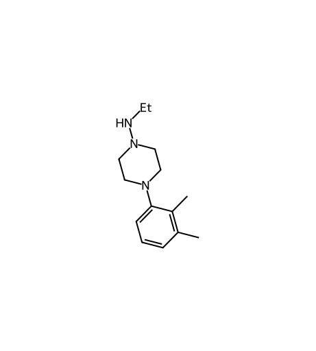 CCNN1CCN(c2cccc(C)c2C)CC1